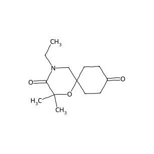 CCN1CC2(CCC(=O)CC2)OC(C)(C)C1=O